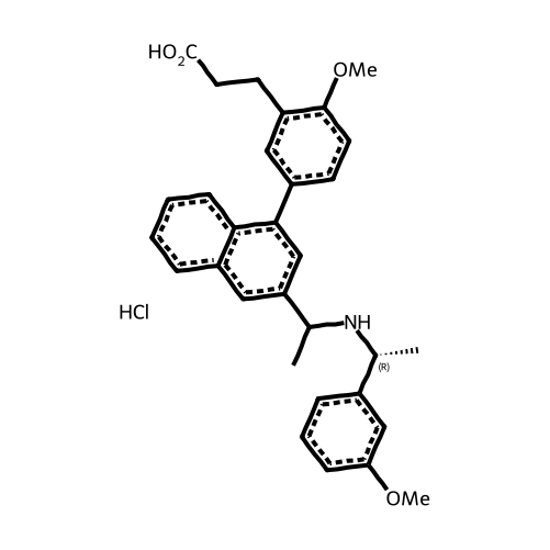 COc1cccc([C@@H](C)NC(C)c2cc(-c3ccc(OC)c(CCC(=O)O)c3)c3ccccc3c2)c1.Cl